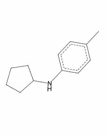 Cc1ccc(NC2CCCC2)cc1